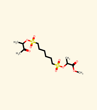 COC(=O)C(C)OS(=O)(=O)CCCCCCS(=O)(=O)OC(C)C(C)=O